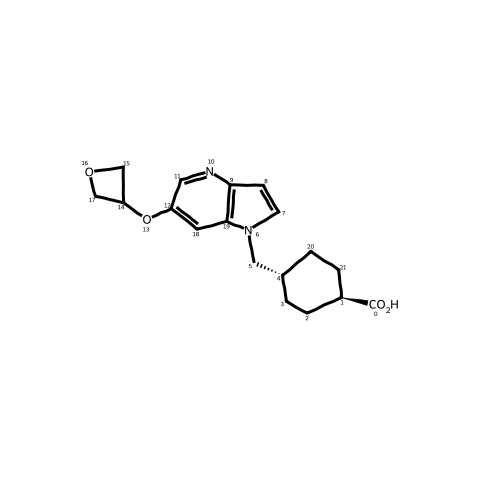 O=C(O)[C@H]1CC[C@H](Cn2ccc3ncc(OC4COC4)cc32)CC1